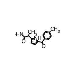 Cc1ccc(C(=O)c2ccc(C(C)C([NH])=O)[nH]2)cc1